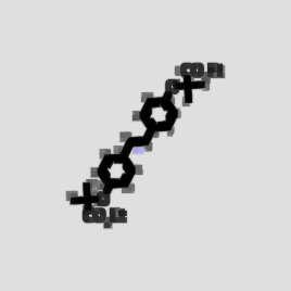 CCOC(=O)C(C)(C)Oc1ccc(/C=C/c2ccc(OC(C)(C)C(=O)OCC)cc2)cc1